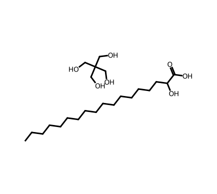 CCCCCCCCCCCCCCCCC(O)C(=O)O.OCC(CO)(CO)CO